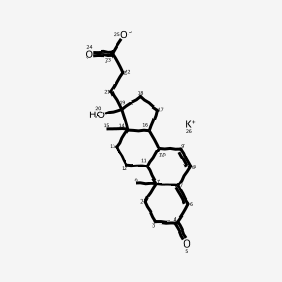 CC12CCC(=O)C=C1C=CC1C2CCC2(C)C1CCC2(O)CCC(=O)[O-].[K+]